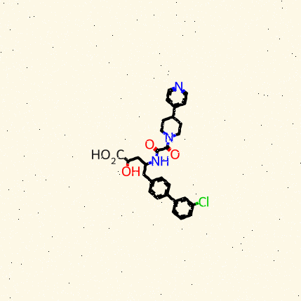 O=C(NC(Cc1ccc(-c2cccc(Cl)c2)cc1)CC(O)C(=O)O)C(=O)N1CCC(c2ccncc2)CC1